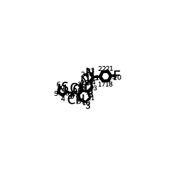 CC(C)(c1cccs1)[C@H]1CCCC2=Cc3c(-c4ccc(F)cc4)ncn3C[C@@]21C